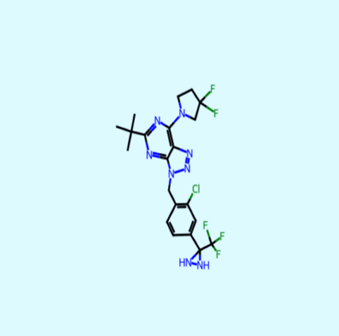 CC(C)(C)c1nc(N2CCC(F)(F)C2)c2nnn(Cc3ccc(C4(C(F)(F)F)NN4)cc3Cl)c2n1